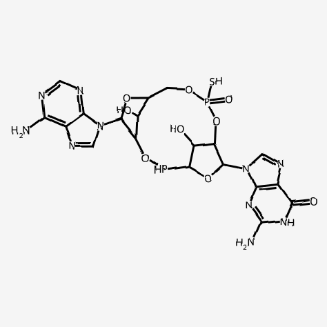 Nc1nc2c(ncn2C2OC3POC4C(O)C(COP(=O)(S)OC2C3O)OC4n2cnc3c(N)ncnc32)c(=O)[nH]1